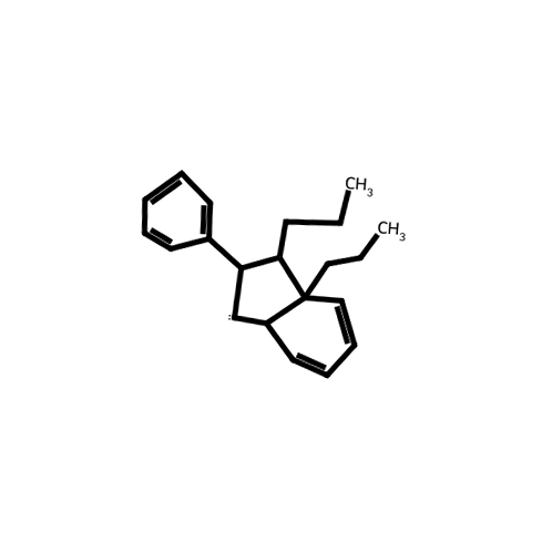 CCCC1C(c2ccccc2)[C]C2C=CC=CC21CCC